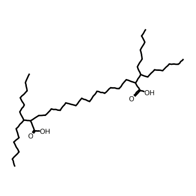 CCCCCCC(CCCCCC)C(CCCCCCCCCCCCCC(C(=O)O)C(CCCCCC)CCCCCC)C(=O)O